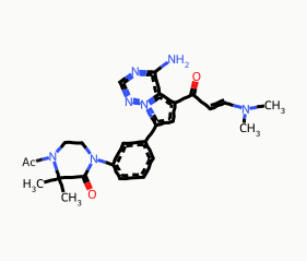 CC(=O)N1CCN(c2cccc(-c3cc(C(=O)/C=C/N(C)C)c4c(N)ncnn34)c2)C(=O)C1(C)C